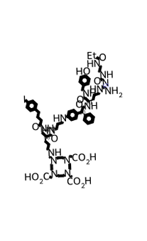 CCC(=O)NCCNC(=O)/N=C(/N)NCCC[C@@H](NC(=O)[C@H](c1ccccc1)c1ccc(NCCCNC(=O)[C@@H](CCCNCN2CCN(CC(=O)O)CCN(CC(=O)O)CCN(CC(=O)O)CC2)CNC(=O)CCCc2ccc(I)cc2)cc1)C(=O)NCc1ccc(O)cc1